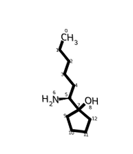 CCCCC[C@H](N)C1(O)CCCC1